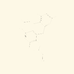 Cc1cc(Cl)cc(Cc2cc(Cl)cc(C)c2OCCO)c1OCCO